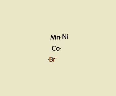 [Br].[Co].[Mn].[Ni]